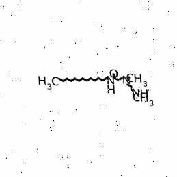 CCCCCCCCCCCCCCNC(=O)CCN(C)CCCNC